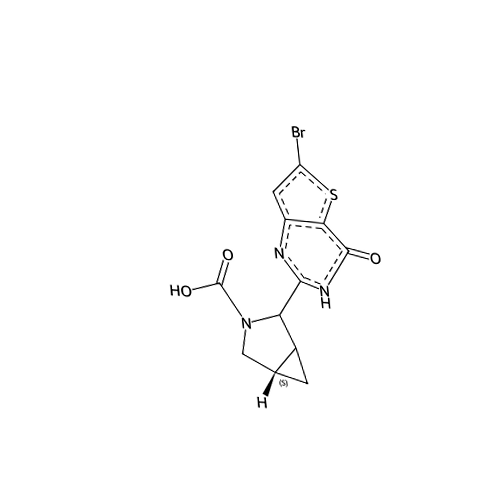 O=C(O)N1C[C@H]2CC2C1c1nc2cc(Br)sc2c(=O)[nH]1